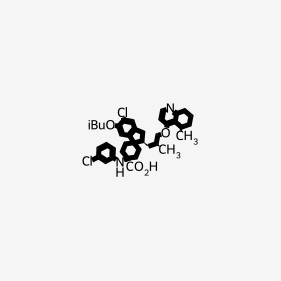 CC(C)COc1cc2c(cc1Cl)C[C@H](C[C@@H](C)COc1ccnc3c1[C@H](C)CCC3)C21CCC(Nc2cccc(Cl)c2)(C(=O)O)CC1